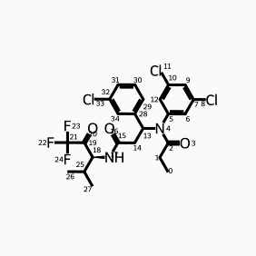 CCC(=O)N(c1cc(Cl)cc(Cl)c1)C(CC(=O)N[C@H](C(=O)C(F)(F)F)C(C)C)c1cccc(Cl)c1